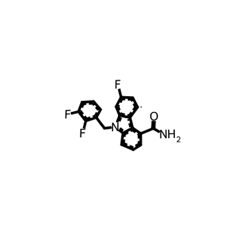 NC(=O)c1cccc2c1c1[c]cc(F)cc1n2Cc1cccc(F)c1F